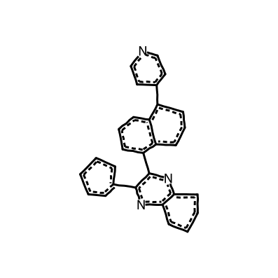 c1ccc(-c2nc3ccccc3nc2-c2cccc3c(-c4ccncc4)cccc23)cc1